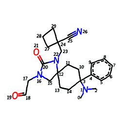 CN(C)C1(c2ccccc2)CCC2(CC1)CN(CC=O)C(=O)N2CC1(C#N)CCC1